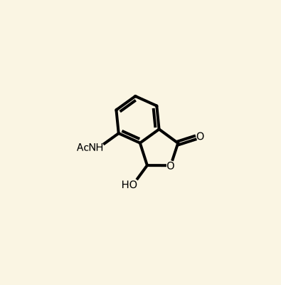 CC(=O)Nc1cccc2c1C(O)OC2=O